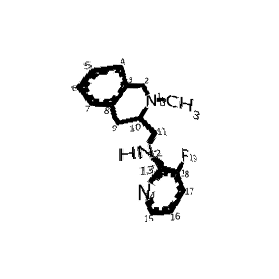 CN1Cc2ccccc2CC1CNc1ncccc1F